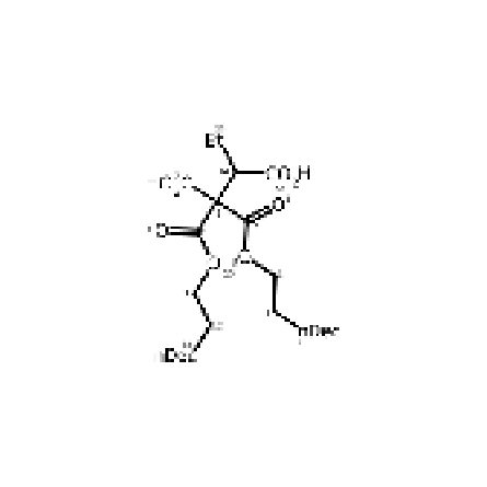 CCCCCCCCCCCCOC(=O)C(C(=O)O)(C(=O)OCCCCCCCCCCCC)C(CC)C(=O)O